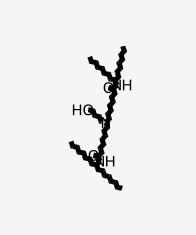 CCCCCCCCC(CCCCCCCC)NC(=O)CCCCCCCN(CCCCO)CCCCCCCC(=O)NC(CCCCCCCC)CCCCCCCC